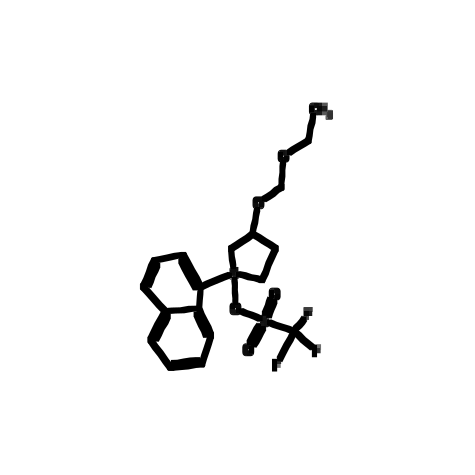 CCOCOC1CCS(OS(=O)(=O)C(F)(F)F)(c2cccc3ccccc23)C1